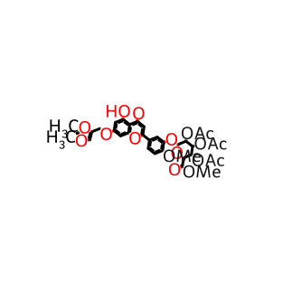 COC(=O)C1OC(Oc2cc(-c3cc(=O)c4c(O)cc(OCC5=COC(C)(C)O5)cc4o3)ccc2OC)C(OC(C)=O)C(OC(C)=O)C1OC(C)=O